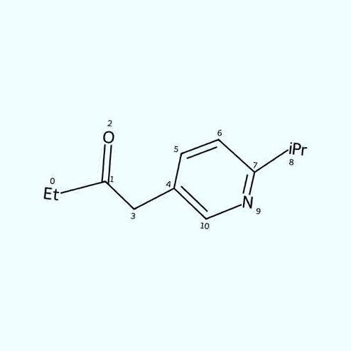 CCC(=O)Cc1ccc(C(C)C)nc1